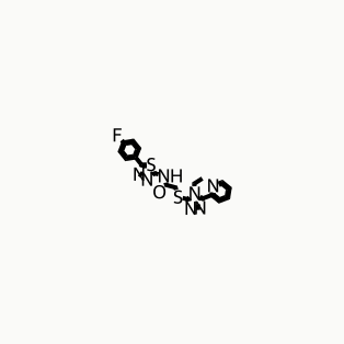 CCn1c(SCC(=O)Nc2nnc(-c3ccc(F)cc3)s2)nnc1-c1ccccn1